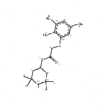 CC1(C)CC(OC(=O)CCc2cc(C(C)(C)C)cc(C(C)(C)C)c2O)CC(C)(C)N1